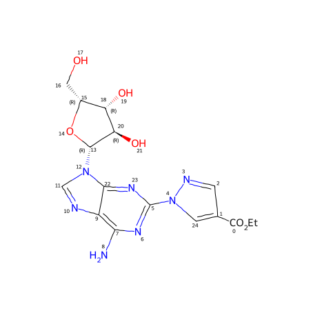 CCOC(=O)c1cnn(-c2nc(N)c3ncn([C@@H]4O[C@H](CO)[C@H](O)[C@H]4O)c3n2)c1